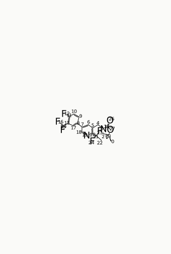 C[C@H]1CN(Cc2cc(-c3ccc(F)c(C(F)F)c3)cnc2C(C)(F)F)C(=O)O1